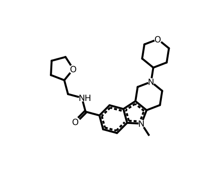 Cn1c2c(c3cc(C(=O)NCC4CCCO4)ccc31)CN(C1CCOCC1)CC2